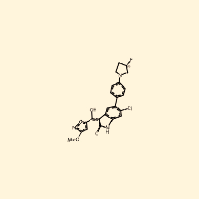 COc1cc(C(O)=C2C(=O)Nc3cc(Cl)c(-c4ccc(N5CC[C@@H](F)C5)cc4)cc32)on1